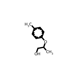 Cc1ccc(OC(C)CO)cc1